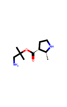 C[C@H]1NCC[C@H]1C(=O)OC(C)(C)CN